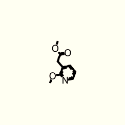 COC(=O)Cc1cccnc1OC